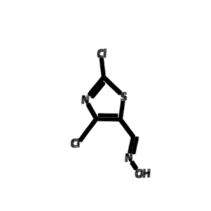 O/N=C/c1sc(Cl)nc1Cl